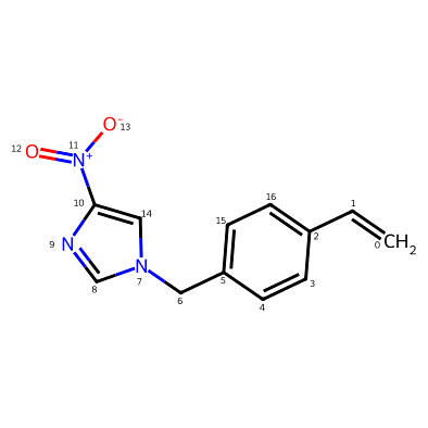 C=Cc1ccc(Cn2cnc([N+](=O)[O-])c2)cc1